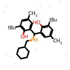 Cc1cc(C(PCC2CCCCC2)c2cc(C)cc(C(C)(C)C)c2O)c(O)c(C(C)(C)C)c1